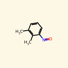 Cc1cccc(N=O)c1C